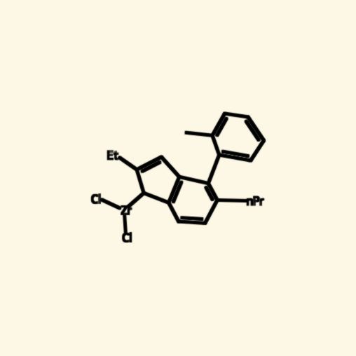 CCCc1ccc2c(c1-c1ccccc1C)C=C(CC)[CH]2[Zr]([Cl])[Cl]